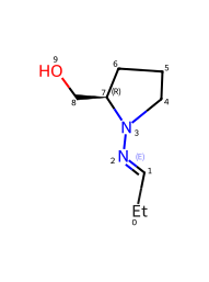 CC/C=N/N1CCC[C@@H]1CO